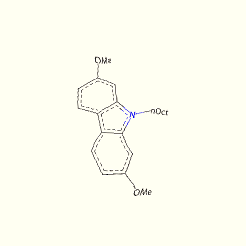 CCCCCCCCn1c2cc(OC)ccc2c2ccc(OC)cc21